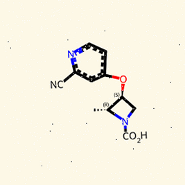 C[C@@H]1[C@@H](Oc2ccnc(C#N)c2)CN1C(=O)O